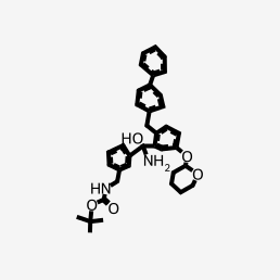 CC(C)(C)OC(=O)NCc1cccc(C(N)(O)c2cc(OC3CCCCO3)ccc2Cc2ccc(-c3ccccc3)cc2)c1